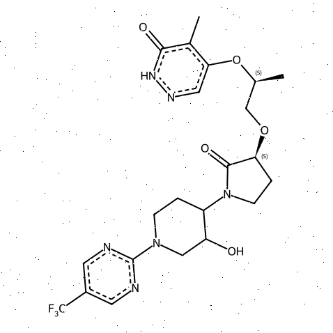 Cc1c(O[C@@H](C)CO[C@H]2CCN(C3CCN(c4ncc(C(F)(F)F)cn4)CC3O)C2=O)cn[nH]c1=O